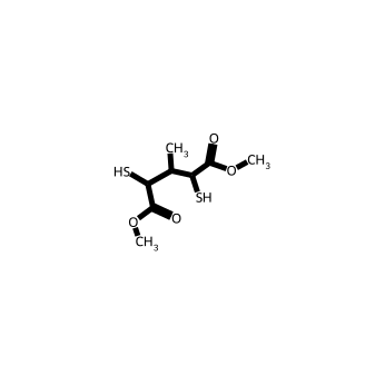 COC(=O)C(S)C(C)C(S)C(=O)OC